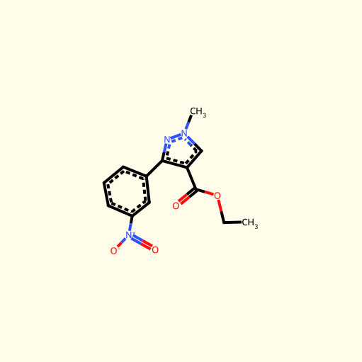 CCOC(=O)c1cn(C)nc1-c1cccc([N+](=O)[O-])c1